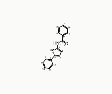 O=C(Nc1ccc(-c2ccccc2)s1)c1ccccc1